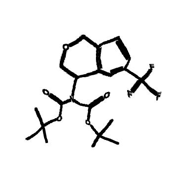 CC(C)(C)OC(=O)N(C(=O)OC(C)(C)C)C1COCc2ccc(C(F)(F)F)cc21